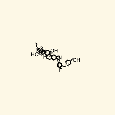 CCC[C@@H]1O[C@@H]2C[C@H]3[C@@H]4CCC5=Cc6c(cnn6-c6ccc(F)c(CN7CCC(CO)CC7)c6)C[C@]5(C)[C@H]4[C@@H](O)C[C@]3(C)[C@]2(C(=O)CO)O1